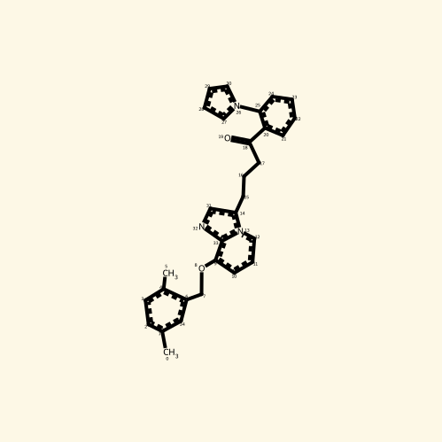 Cc1ccc(C)c(COc2cccn3c(CCCC(=O)c4ccccc4-n4cccc4)cnc23)c1